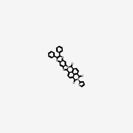 O=C1c2ccc3c(=O)n4c5cc6nc(-c7ccccc7)c(-c7ccccc7)nc6cc5nc4c4ccc(c2c34)C(=O)N1c1cccs1